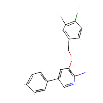 Nc1ncc(-c2ccccc2)cc1OCc1ccc(Cl)c(Cl)c1